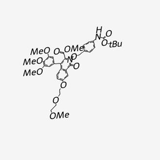 COCCOCCOc1ccc2c(-c3cc(OC)c(OC)c(OC)c3)c(C(=O)OC)n(OCc3ccc(NC(=O)OC(C)(C)C)cc3)c(=O)c2c1